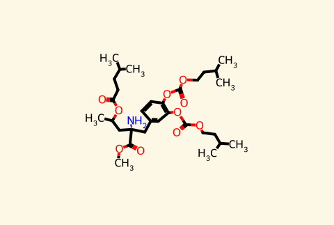 COC(=O)[C@](N)(Cc1ccc(OC(=O)OCCC(C)C)c(OC(=O)OCCC(C)C)c1)CC(C)OC(=O)CCC(C)C